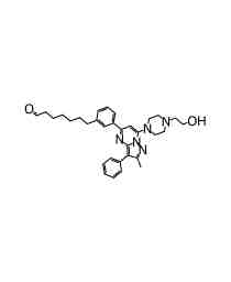 Cc1nn2c(N3CCN(CCO)CC3)cc(-c3cccc(CCCCCCC=O)c3)nc2c1-c1ccccc1